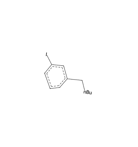 CCCCCc1cccc(I)c1